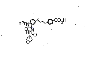 CCCN1C(=O)/C(=N\NC(=O)N2CCOCC2)c2cc(SCCCc3ccc(C(=O)O)cc3)ccc21